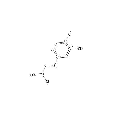 O=C(Cl)CSc1ccc(Cl)c(Cl)c1